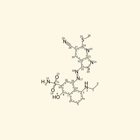 CCNc1cccc2c(O)c(S(N)(=O)=O)cc(/N=N/c3snc4nc(SC)c(C#N)cc34)c12